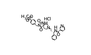 CS(=O)(=O)c1ccc(CN2C(=O)NC3(CCN(CC[C@H](NC(=O)c4cccnc4)c4ccccc4)CC3)C2=O)cc1.Cl